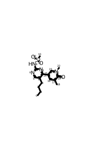 CCCCc1cnc(NS(C)(=O)=O)nc1-c1cc(C)c(=O)n(C)c1